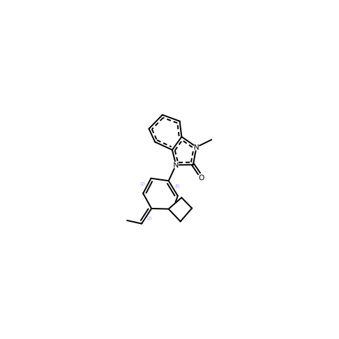 C\C=C(/C=C\C(=C/C)n1c(=O)n(C)c2ccccc21)C1CCC1